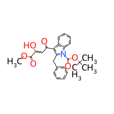 COC(=O)/C(O)=C/C(=O)c1c(Cc2ccccc2)n(C(=O)OC(C)(C)C)c2ccccc12